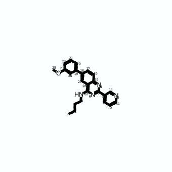 CCCCNc1nc(-c2cccnc2)nc2ccc(-c3cccc(OC)c3)cc12